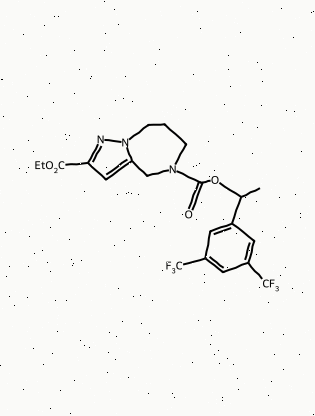 CCOC(=O)c1cc2n(n1)CCCN(C(=O)OC(C)c1cc(C(F)(F)F)cc(C(F)(F)F)c1)C2